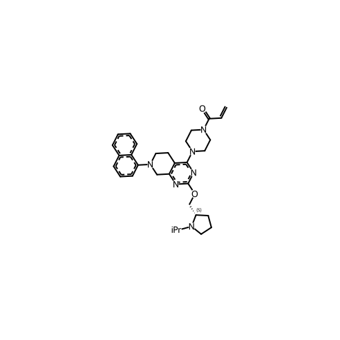 C=CC(=O)N1CCN(c2nc(OC[C@@H]3CCCN3C(C)C)nc3c2CCN(c2cccc4ccccc24)C3)CC1